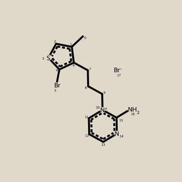 Cc1csc(Br)c1CCC[n+]1cccnc1N.[Br-]